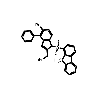 CCC(C)c1ccc2c(c1-c1ccccc1)C=C(CC(C)C)[CH]2[Zr]([Cl])([Cl])[c]1cccc2c1[SiH2]c1ccccc1-2